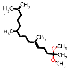 COC(C)(CC/C=C(\C)CCCC(C)CCCC(C)C)OC